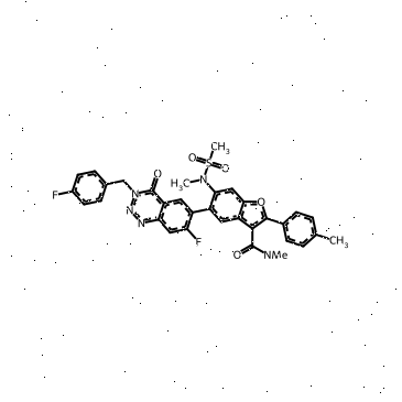 CNC(=O)c1c(-c2ccc(C)cc2)oc2cc(N(C)S(C)(=O)=O)c(-c3cc4c(=O)n(Cc5ccc(F)cc5)nnc4cc3F)cc12